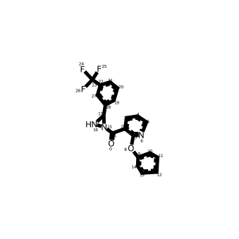 O=C(c1cccnc1Oc1ccccc1)N1NC1c1cccc(C(F)(F)F)c1